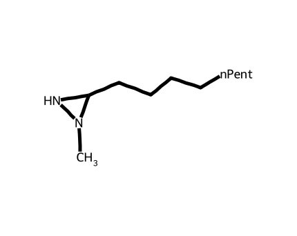 CCCCCCCCCC1NN1C